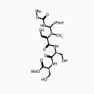 CCCCCC(NC(=O)OC(C)(C)C)N(C)/C(=C\S)C(=O)N[C@@H](CO)C(=O)N[C@@H](CO)C(=O)OC